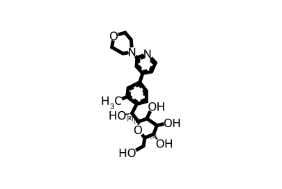 Cc1cc(-c2ccnc(N3CCOCC3)c2)ccc1[C@@H](O)[C@H]1OC(CO)[C@@H](O)C(O)C1O